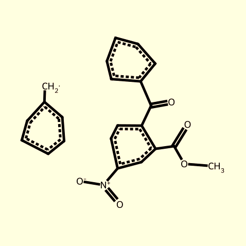 COC(=O)c1cc([N+](=O)[O-])ccc1C(=O)c1ccccc1.[CH2]c1ccccc1